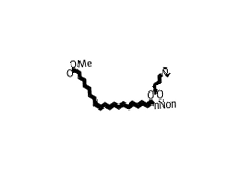 CCCCCCCCCC(CCCCCCCCCC/C=C\CCCCCCCC(=O)OC)OC(=O)CCCN(C)C